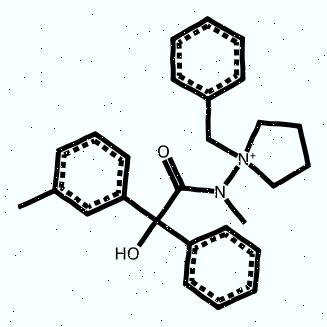 Cc1cccc(C(O)(C(=O)N(C)[N+]2(Cc3ccccc3)CCCC2)c2ccccc2)c1